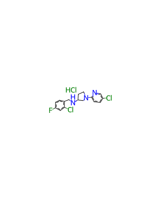 Cl.Fc1ccc(CN[C@H]2CCN(c3ccc(Cl)cn3)C2)c(Cl)c1